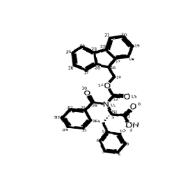 O=C(O)[C@H](Cc1ccccc1)N(C(=O)OCC1c2ccccc2-c2ccccc21)C(=O)c1ccccc1